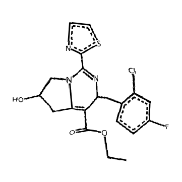 CCOC(=O)C1=C2CC(O)CN2C(c2nccs2)=NC1c1ccc(F)cc1Cl